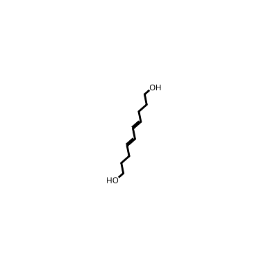 OCCCC=CC=CCCCO